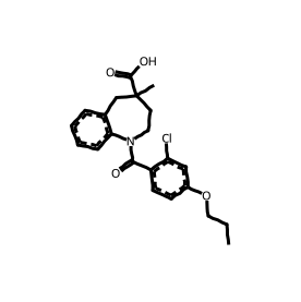 CCCOc1ccc(C(=O)N2CCC(C)(C(=O)O)Cc3ccccc32)c(Cl)c1